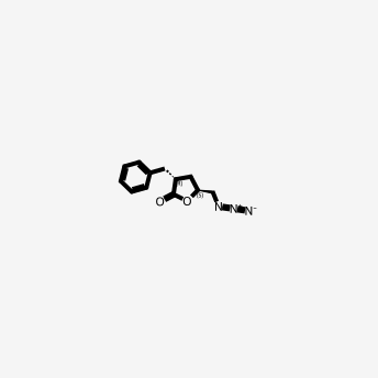 [N-]=[N+]=NC[C@@H]1C[C@@H](Cc2ccccc2)C(=O)O1